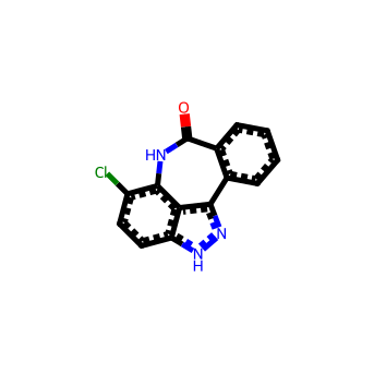 O=C1Nc2c(Cl)ccc3[nH]nc(c23)-c2ccccc21